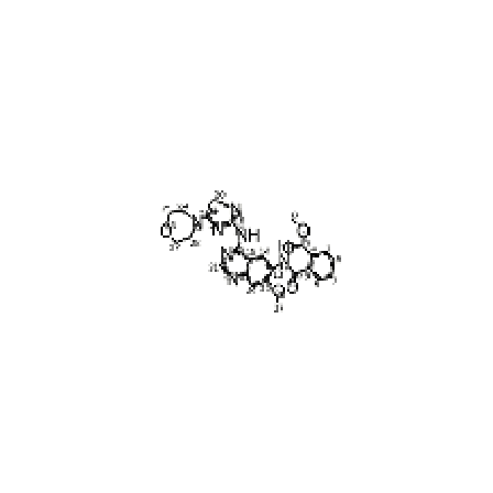 COC(=O)c1ccccc1C(=O)Nc1cc2c(Nc3nccc(N4CCOCC4)n3)ncnc2cc1OC